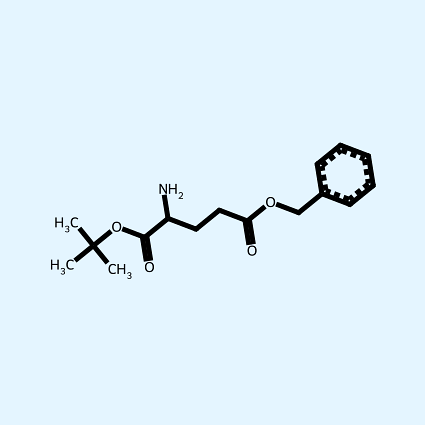 CC(C)(C)OC(=O)C(N)CCC(=O)OCc1ccccc1